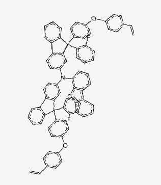 C=Cc1ccc(Oc2ccc(C3(c4ccccc4F)c4ccccc4-c4ccc(N(c5ccc6c(c5)C(c5ccc(Oc7ccc(C=C)cc7)cc5)(c5ccccc5F)c5ccccc5-6)c5cccc6c5oc5ccccc56)cc43)cc2)cc1